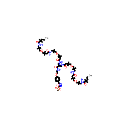 CC(C)(C)CCC(C)(C)C(=O)NCC(C)(C)COCC(C)(C)CC(=O)NCC(C)(C)COCC(C)(C)CC(=O)NCC(CNC(=O)CC(C)(C)COCC(C)(C)CNC(=O)CC(C)(C)COCC(C)(C)CNC(=O)C(C)(C)CCC(C)(C)C)C(=O)NCCOc1ccc(-c2nnc(S(C)(=O)=O)o2)cc1